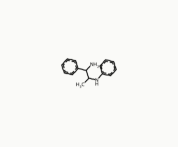 CC(Nc1ccccc1)C(N)c1ccccc1